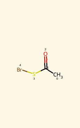 CC(=O)SBr